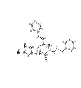 O=C(N[C@@H](CSCc1ccccc1)C(=O)NCC1CC(Br)=NO1)OCc1ccccc1